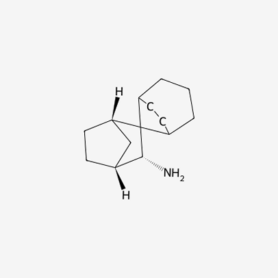 N[C@@H]1[C@@H]2CC[C@@H](C2)C12C1CCCC2CC1